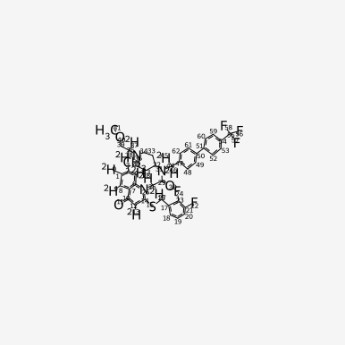 [2H]c1c(C)c([2H])c2c(c1[2H])c(=O)c([2H])c(SCc1cccc(F)c1F)n2C([2H])([2H])C(=O)N(C1CCN(C([2H])([2H])COC)CC1)C([2H])([2H])c1ccc(-c2ccc(C(F)(F)F)cc2)cc1